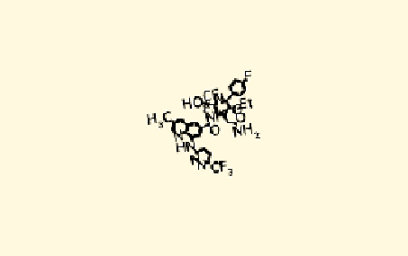 CCOc1c(CC(N)=O)cc([C@@](O)(CNC(=O)c2cc(Nc3ccc(C(F)(F)F)nn3)c3ncc(C)cc3c2)C(F)(F)F)nc1-c1ccc(F)cc1